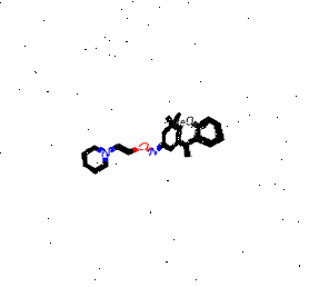 C=C(C1=CC(C)(C)C/C(=N\OCCN2CCCCC2)C1)c1ccccc1OC